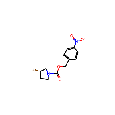 O=C(OCc1ccc([N+](=O)[O-])cc1)N1CC[C@@H](S)C1